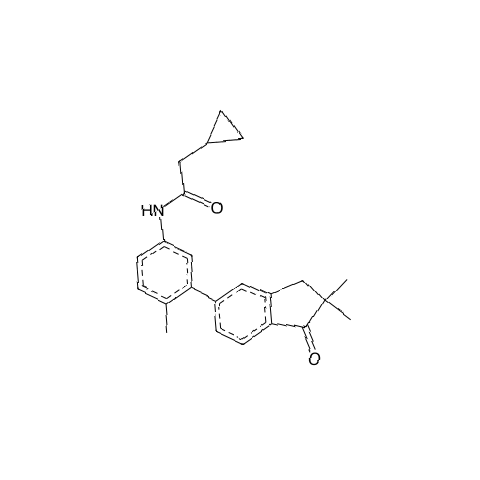 Cc1ccc(NC(=O)CC2CC2)cc1-c1ccc2c(c1)CC(C)(C)C2=O